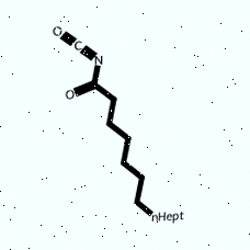 CCCCCCCCCCCCCC(=O)N=C=O